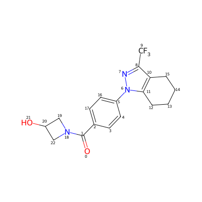 O=C(c1ccc(-n2nc(C(F)(F)F)c3c2CCCC3)cc1)N1CC(O)C1